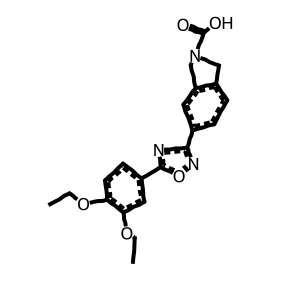 CCOc1ccc(-c2nc(-c3ccc4c(c3)CN(C(=O)O)C4)no2)cc1OCC